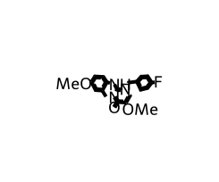 COc1ccc(Nc2nc(=O)c(OC)cn2Cc2ccc(F)cc2)c(C)c1